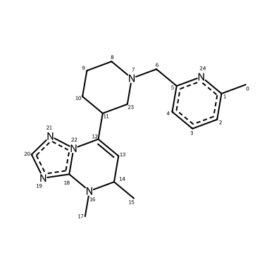 Cc1cccc(CN2CCCC(C3=CC(C)N(C)c4ncnn43)C2)n1